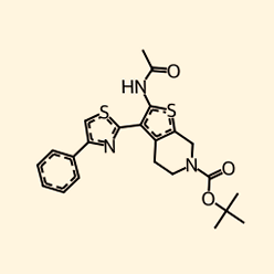 CC(=O)Nc1sc2c(c1-c1nc(-c3ccccc3)cs1)CCN(C(=O)OC(C)(C)C)C2